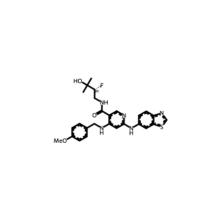 COc1ccc(CNc2cc(Nc3ccc4ncsc4c3)ncc2C(=O)NC[C@@H](F)C(C)(C)O)cc1